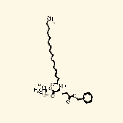 CCCCCCCCCCCCCCCC(=O)N[C@H](CCC(=O)OCc1ccccc1)C(=O)OC(C)(C)C